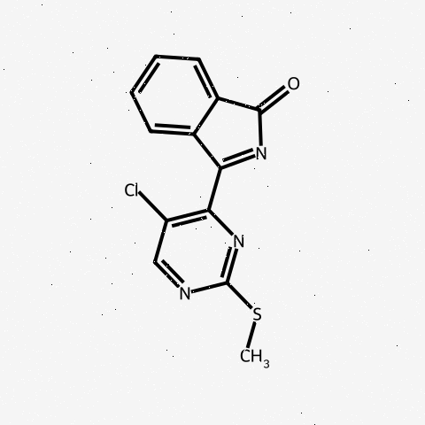 CSc1ncc(Cl)c(C2=NC(=O)c3ccccc32)n1